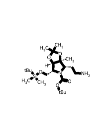 CC(C)(C)OC(=O)N1[C@H](CO[Si](C)(C)C(C)(C)C)[C@H]2OC(C)(C)O[C@@]2(C)[C@@H]1CCN